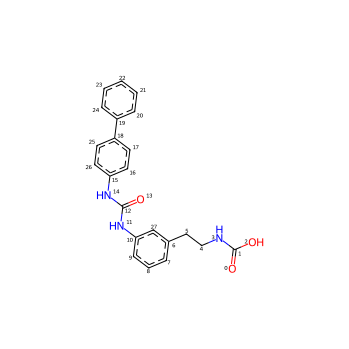 O=C(O)NCCc1cccc(NC(=O)Nc2ccc(-c3ccccc3)cc2)c1